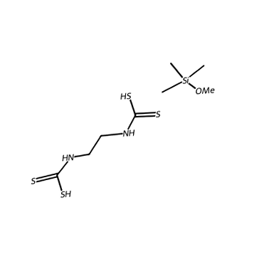 CO[Si](C)(C)C.S=C(S)NCCNC(=S)S